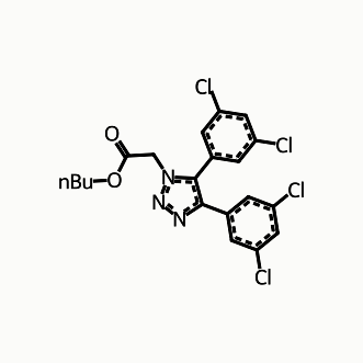 CCCCOC(=O)Cn1nnc(-c2cc(Cl)cc(Cl)c2)c1-c1cc(Cl)cc(Cl)c1